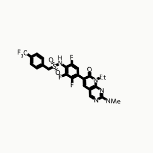 CCn1c(=O)c(-c2cc(F)c(NS(=O)(=O)Cc3ccc(C(F)(F)F)cc3)c(F)c2F)cc2cnc(NC)nc21